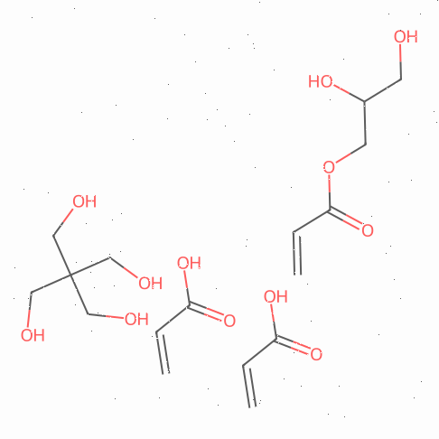 C=CC(=O)O.C=CC(=O)O.C=CC(=O)OCC(O)CO.OCC(CO)(CO)CO